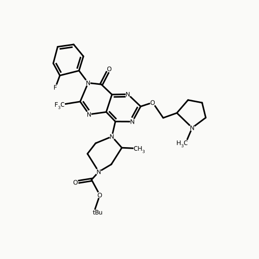 CC1CN(C(=O)OC(C)(C)C)CCN1c1nc(OCC2CCCN2C)nc2c(=O)n(-c3ccccc3F)c(C(F)(F)F)nc12